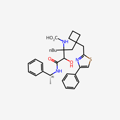 CCCCC(CC1(Cc2nc(-c3ccccc3)cs2)CCC1)(NC(=O)O)C(O)C(=O)N[C@H](C)c1ccccc1